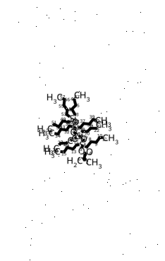 C=C(C)C(=O)O[Si](CCCCC)(CCCCC)O[Si](CCCCC)(CCCCC)O[Si](CCCCC)(CCCCC)O[Si](CCCCC)(CCCCC)CCCCC